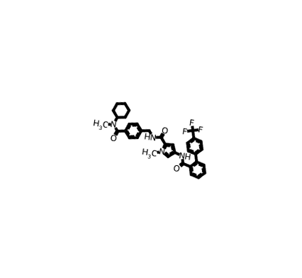 CN(C(=O)c1ccc(CNC(=O)c2cc(NC(=O)c3ccccc3-c3ccc(C(F)(F)F)cc3)cn2C)cc1)C1CCCCC1